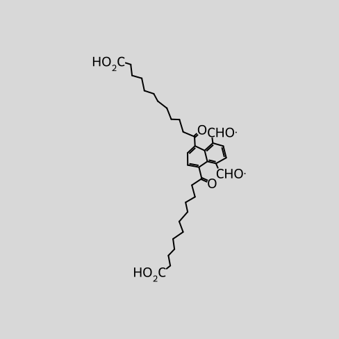 O=[C]c1ccc([C]=O)c2c(C(=O)CCCCCCCCCCC(=O)O)ccc(C(=O)CCCCCCCCCCC(=O)O)c12